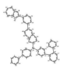 c1ccc(-c2ccc(N(c3ccc(-c4ccccc4-c4ccccc4)cc3)c3ccc4cc(-c5cccc(-c6cc7ccccc7o6)c5)ccc4c3)cc2)cc1